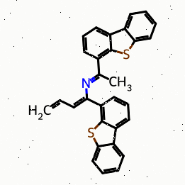 C=C/C=C(\N=C(/C)c1cccc2c1sc1ccccc12)c1cccc2c1sc1ccccc12